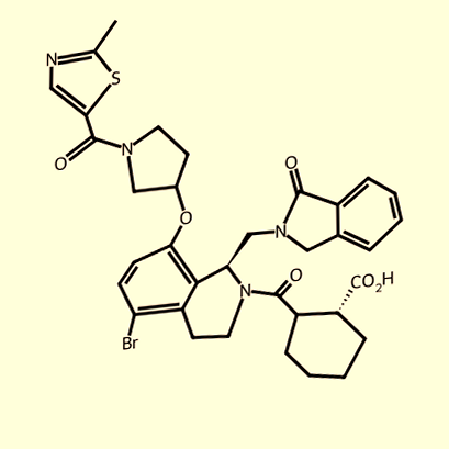 Cc1ncc(C(=O)N2CCC(Oc3ccc(Br)c4c3[C@@H](CN3Cc5ccccc5C3=O)N(C(=O)C3CCCC[C@H]3C(=O)O)CC4)C2)s1